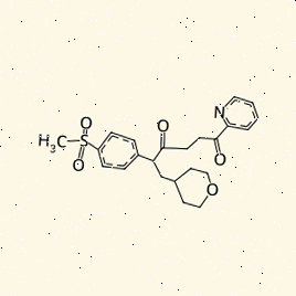 CS(=O)(=O)c1ccc(C(CC2CCOCC2)C(=O)CCC(=O)c2ccccn2)cc1